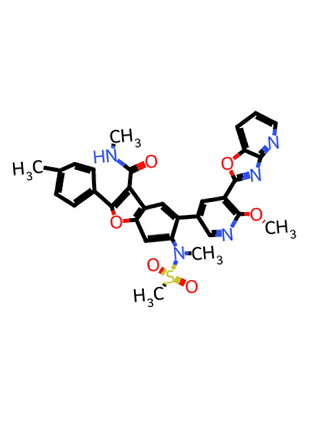 CNC(=O)c1c(-c2ccc(C)cc2)oc2cc(N(C)S(C)(=O)=O)c(-c3cnc(OC)c(-c4nc5ncccc5o4)c3)cc12